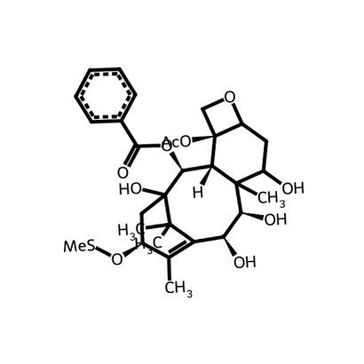 CSO[C@H]1CC2(O)[C@@H](OC(=O)c3ccccc3)[C@H]3C(C)(C(O)CC4OC[C@]43OC(C)=O)[C@@H](O)[C@@H](O)C(=C1C)C2(C)C